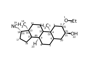 CCO[C@H]1C[C@@]2(C)C(CC[C@@H]3C2CC[C@@]2(C)C3CC[C@@H]2C#N)C[C@@H]1O